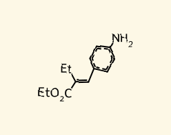 CCOC(=O)C(=Cc1ccc(N)cc1)CC